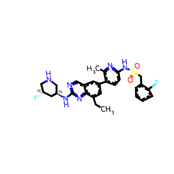 CCc1cc(-c2ccc(NS(=O)(=O)Cc3ccccc3F)nc2C)cc2cnc(N[C@@H]3CNC[C@@H](F)C3)nc12